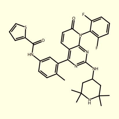 Cc1ccc(NC(=O)c2cccs2)cc1-c1nc(NC2CC(C)(C)NC(C)(C)C2)nc2c1ccc(=O)n2-c1c(F)cccc1F